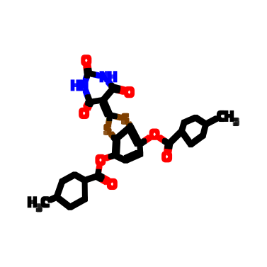 CC1CCC(C(=O)Oc2ccc(OC(=O)C3CCC(C)CC3)c3c2SC(=C2C(=O)NC(=O)NC2=O)S3)CC1